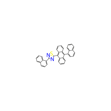 c1ccc2c(-c3nsc(-c4c5ccccc5c(-c5cccc6ccccc56)c5ccccc45)n3)cccc2c1